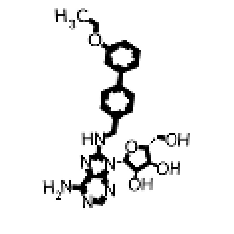 CCOc1cccc(-c2ccc(CNc3nc4c(N)ncnc4n3[C@@H]3O[C@H](CO)[C@@H](O)[C@H]3O)cc2)c1